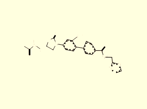 CC(=O)NC[C@H]1CN(c2ccc(-c3ccc(C(=O)NCc4ncon4)cc3)c(F)c2)C(=O)O1